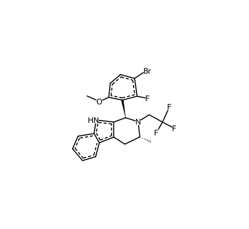 COc1ccc(Br)c(F)c1[C@@H]1c2[nH]c3ccccc3c2C[C@@H](C)N1CC(F)(F)F